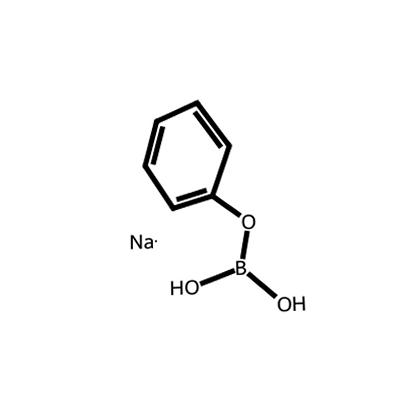 OB(O)Oc1ccccc1.[Na]